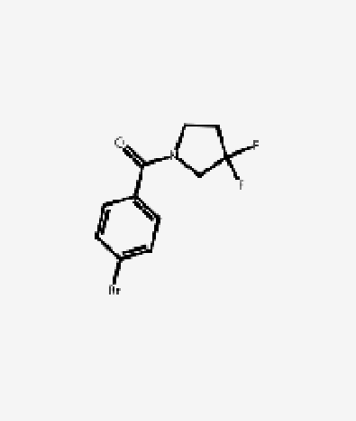 O=C(c1ccc(Br)cc1)N1CCC(F)(F)C1